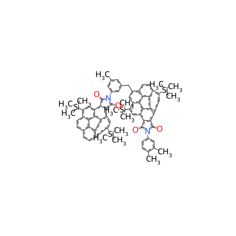 Cc1cc(Cc2cc3c([Si](C)(C)C)cc4c5c(=O)n(-c6ccc(C)c(C)c6)c(=O)c5c5cc([Si](C)(C)C)c6ccc2c2c6c5c4c32)cc(-n2c(=O)c3c4cc([Si](C)(C)C)c5ccc6ccc7c([Si](C)(C)C)cc(c3c2=O)c2c7c6c5c42)c1